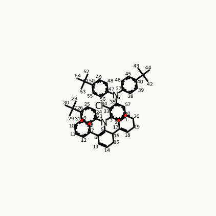 Cc1cc(N(C2=C(c3ccccc3)C=CCC2C2=CCCC=C2)c2ccc(C(C)(C)C)cc2)c(Cl)c(N(c2ccc(C(C)(C)C)cc2)c2ccc(C(C)(C)C)cc2)c1